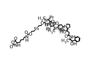 CC[C@H](C)[C@@H]([C@@H](CC(=O)N1CCC[C@H]1[C@H](O)CC(=O)N[C@H](C)[C@@H](O)c1ccccc1)OC)N(C)C(=O)[C@@H](NC(=O)[C@H](C(C)C)N(C)C(=O)OCCSSCCOC(=O)NCCCCC1NC(=O)OC1=O)C(C)C